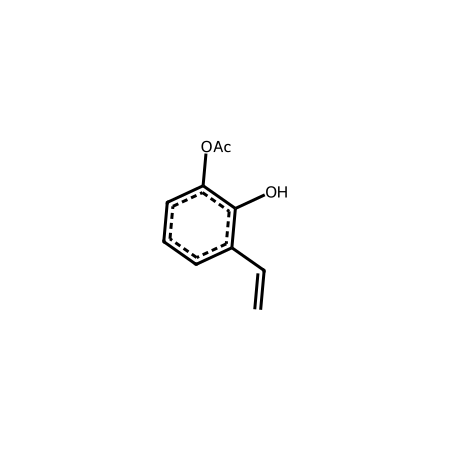 C=Cc1cccc(OC(C)=O)c1O